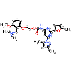 COc1cccc(OCCOC(=O)Nc2cc(-n3nc(C)cc3C)nc(-c3ccc(C)o3)n2)c1CN(C)C